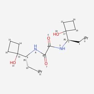 CC(C)C[C@@H](NC(=O)C(=O)N[C@H](CC(C)C)C1(O)CCC1)C1(O)CCC1